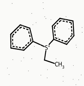 CC[S+](c1ccccc1)c1ccccc1